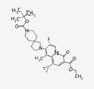 CCOC(=O)c1cc(C2CC2)c2c(C)c(N3CCC4(CCN(C(=O)OC(C)(C)C)CC4)C3)c(F)cn2c1=O